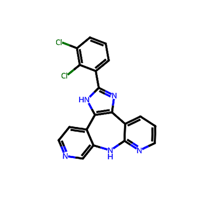 Clc1cccc(-c2nc3c([nH]2)-c2ccncc2Nc2ncccc2-3)c1Cl